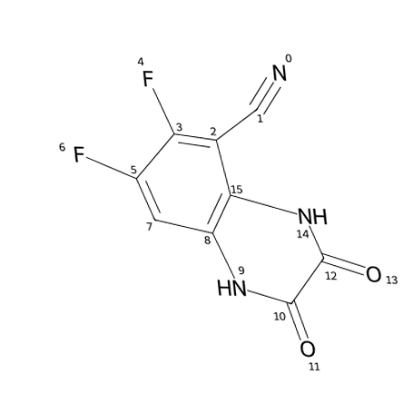 N#Cc1c(F)c(F)cc2[nH]c(=O)c(=O)[nH]c12